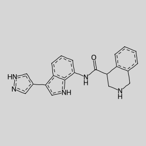 O=C(Nc1cccc2c(-c3cn[nH]c3)c[nH]c12)C1CNCc2ccccc21